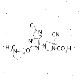 CN1CCC[C@H]1COc1nc(N2CCN(C(=O)O)[C@@H](CC#N)C2)c2cnc(Cl)cc2n1